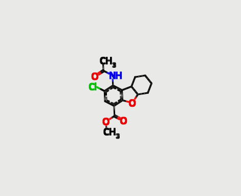 COC(=O)c1cc(Cl)c(NC(C)=O)c2c1OC1CCCCC21